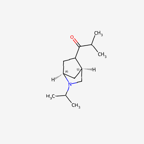 CC(C)C(=O)C1C[C@H]2C[C@@H]1CN2C(C)C